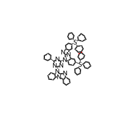 c1ccc(-c2nc(-n3c4ccccc4n4c5ccccc5nc34)nc(-n3c4ccc(S(c5ccccc5)(c5ccccc5)c5ccccc5)cc4n4c5cc(S(c6ccccc6)(c6ccccc6)c6ccccc6)ccc5nc34)n2)cc1